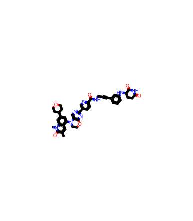 Cc1cc2c(N3CCOc4nc(-c5ccc(C(=O)NCC#Cc6cccc(NC7CCC(=O)NC7=O)c6)nc5)ncc43)cc(C3CCOCC3)cc2n(C)c1=O